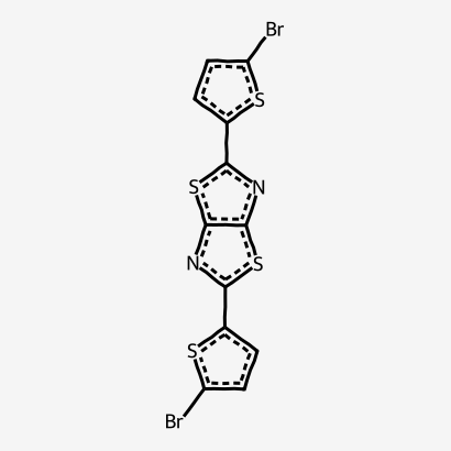 Brc1ccc(-c2nc3sc(-c4ccc(Br)s4)nc3s2)s1